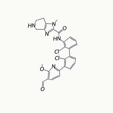 COc1nc(-c2cccc(-c3cccc(NC(=O)c4nc5c(n4C)CCNC5)c3Cl)c2Cl)ccc1C=O